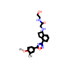 CC(C)Oc1ccc(-c2nc(-c3cccc4c3CC[C@H]4NCC(=O)NCCO)no2)cc1C#N